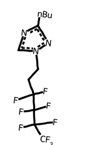 CCCCc1ncn(CCC(F)(F)C(F)(F)C(F)(F)C(F)(F)F)n1